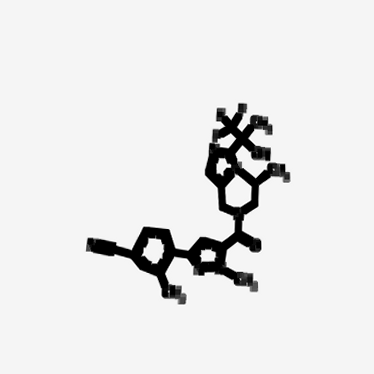 Cc1cc(C#N)ccc1-c1cc(C(=O)N2Cc3cnc(C(C)(O)C(F)(F)F)n3[C@@H](C)C2)n(C)n1